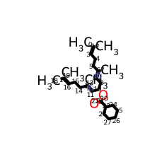 CC(C)=CCC/C(C)=C/CC(/C=C(\C)CCC=C(C)C)OC(=O)C1CCCCC1